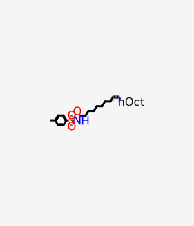 CCCCCCCC/C=C\CCCCCCCC(=O)NS(=O)(=O)c1ccc(C)cc1